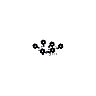 Cc1cc(OCc2ccccc2)c(OCc2ccccc2)cc1/C=C/C(=O)c1c(O)cc(OCc2ccccc2)cc1OCc1ccccc1